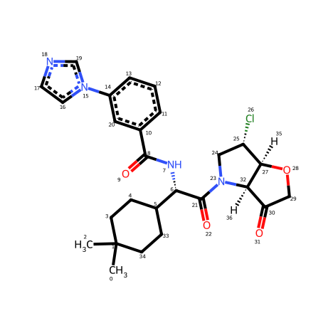 CC1(C)CCC([C@H](NC(=O)c2cccc(-n3ccnc3)c2)C(=O)N2C[C@H](Cl)[C@H]3OCC(=O)[C@H]32)CC1